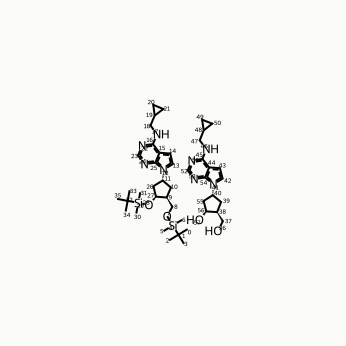 CC(C)(C)[Si](C)(C)OC[C@@H]1C[C@@H](n2ccc3c(NCC4CC4)ncnc32)C[C@@H]1O[Si](C)(C)C(C)(C)C.OC[C@@H]1C[C@@H](n2ccc3c(NCC4CC4)ncnc32)C[C@@H]1O